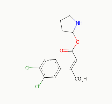 O=C(/C=C(/C(=O)O)c1ccc(Cl)c(Cl)c1)OC1CCCN1